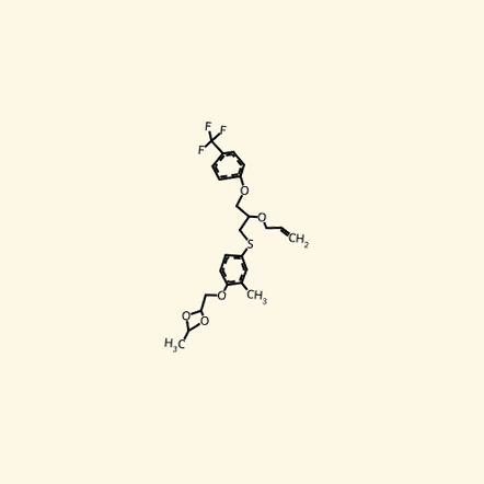 C=CCOC(COc1ccc(C(F)(F)F)cc1)CSc1ccc(OCC2OC(C)O2)c(C)c1